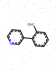 O=Cc1ccccc1-c1c[c]cnc1